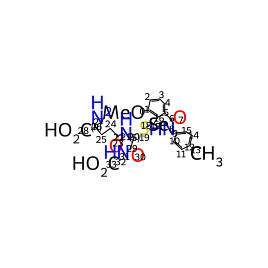 COc1cccc(C(=O)Nc2ccc(C)cc2)c1[Se]SC[C@@H](NC(=O)CC[C@@H](N)C(=O)O)C(=O)NCC(=O)O